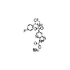 CC(C)(C)OC(=O)n1cnc2cc(S(=O)(=O)N[C@H](c3ccc(F)cc3)C(F)(F)F)cnc21